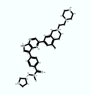 Cc1cc(-c2cnc3[nH]cc(-c4ccc(C(=O)N(C)C[C@@H]5CCOC5)cc4)c3n2)cc2c1CCN(CCN1CCOCC1)C2